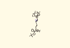 CC(C)(C)OC(=O)NCC/C=C/B1OC(C)(C)C(C)(C)O1